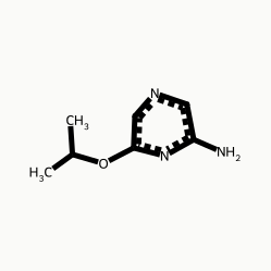 CC(C)Oc1cncc(N)n1